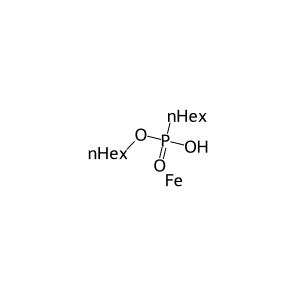 CCCCCCOP(=O)(O)CCCCCC.[Fe]